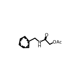 CC(=O)OCC(=O)NCc1ccccc1